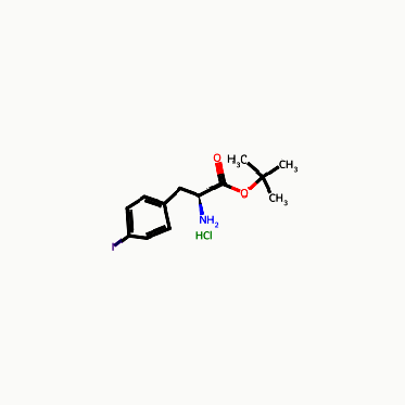 CC(C)(C)OC(=O)[C@@H](N)Cc1ccc(I)cc1.Cl